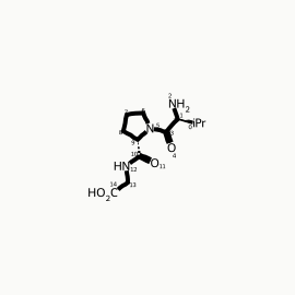 CC(C)[C@H](N)C(=O)N1CCC[C@H]1C(=O)NCC(=O)O